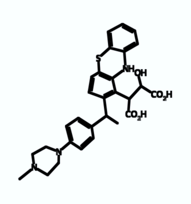 CC(c1ccc(N2CCN(C)CC2)cc1)c1ccc2c(c1C(C(=O)O)C(O)C(=O)O)Nc1ccccc1S2